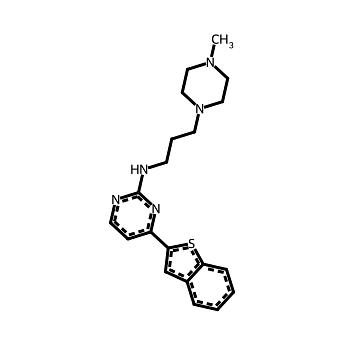 CN1CCN(CCCNc2nccc(-c3cc4ccccc4s3)n2)CC1